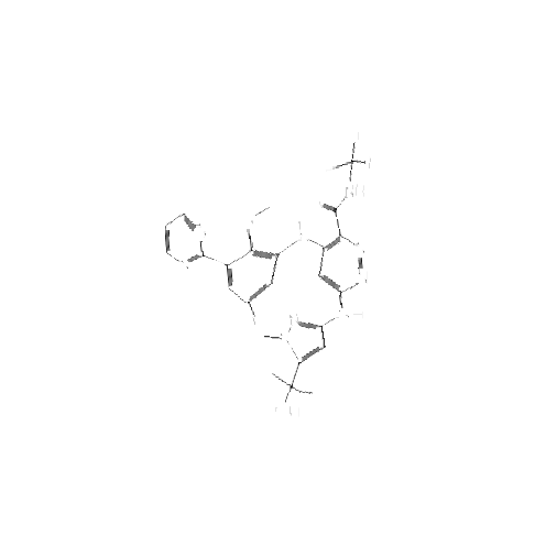 [2H]C([2H])([2H])NC(=O)c1nnc(Nc2cc(C(C)(C)O)n(C)n2)cc1Nc1cc(F)cc(-c2ncccn2)c1OC